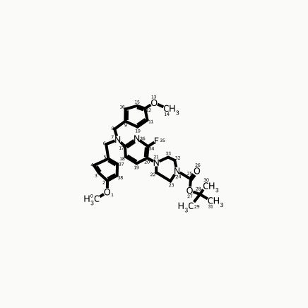 COc1ccc(CN(Cc2ccc(OC)cc2)c2ccc(N3CCN(C(=O)OC(C)(C)C)CC3)c(F)n2)cc1